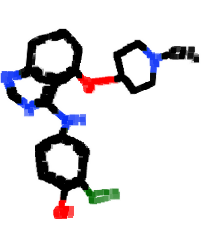 CN1CCC(Oc2cccc3ncnc(Nc4ccc(O)c(Cl)c4)c23)CC1